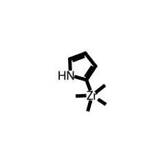 [CH3][Zr]([CH3])([CH3])([CH3])[c]1ccc[nH]1